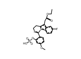 CCOC(=O)Cc1c2n(c3ccc(F)cc13)C(c1ccc(OC)cc1OS(=O)(=O)O)=NCC2